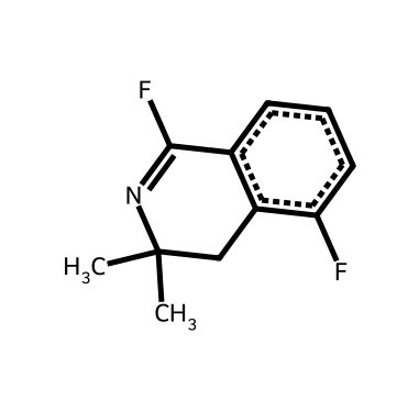 CC1(C)Cc2c(F)cccc2C(F)=N1